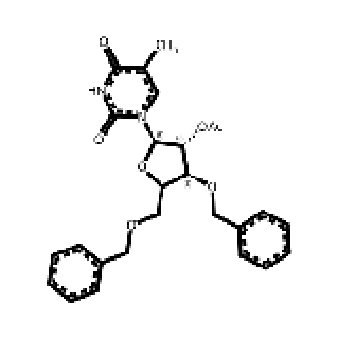 CC(=O)O[C@H]1[C@H](n2cc(C)c(=O)[nH]c2=O)O[C](COCc2ccccc2)[C@@H]1OCc1ccccc1